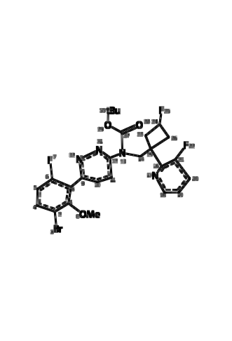 COc1c(Br)ccc(F)c1-c1ccc(N(CC2(c3ncccc3F)CC(F)C2)C(=O)OC(C)(C)C)nn1